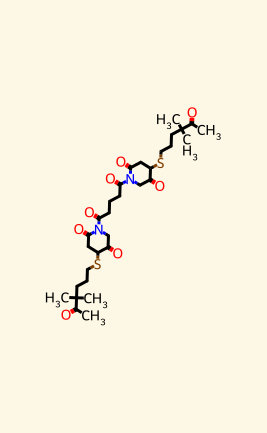 CC(=O)C(C)(C)CCCSC1CC(=O)N(C(=O)CCCC(=O)N2CC(=O)C(SCCCC(C)(C)C(C)=O)CC2=O)CC1=O